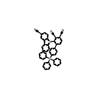 N#Cc1ccc2c(c1)c1ccccc1n2-c1c(-c2ccc([Si](c3ccccc3)(c3ccccc3)c3ccccc3)cc2)ccc(C#N)c1C#N